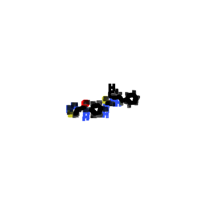 CC(CCc1ccccc1)NC(=S)Nc1ccc(NC(=O)c2csnn2)cc1